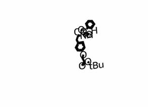 CC(C)(C)OC(=O)COc1ccc(CC(NS(=O)(=O)c2ccccc2)C(=O)O)cc1